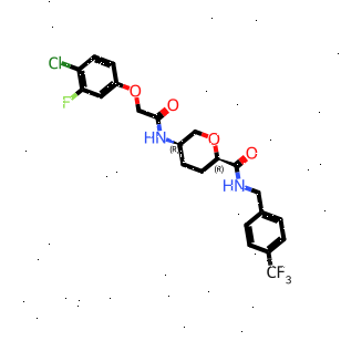 O=C(COc1ccc(Cl)c(F)c1)N[C@@H]1CC[C@H](C(=O)NCc2ccc(C(F)(F)F)cc2)OC1